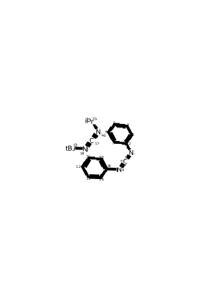 C(=Nc1ccccc1)=Nc1ccccc1.CC(C)N=C=NC(C)(C)C